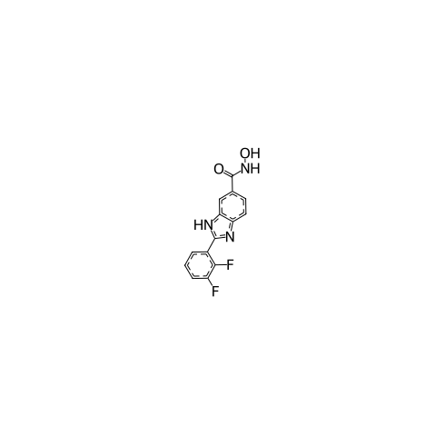 O=C(NO)c1ccc2nc(-c3cccc(F)c3F)[nH]c2c1